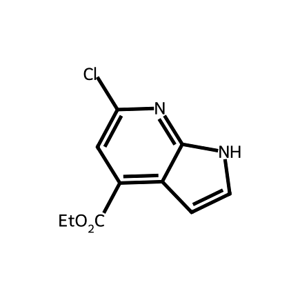 CCOC(=O)c1cc(Cl)nc2[nH]ccc12